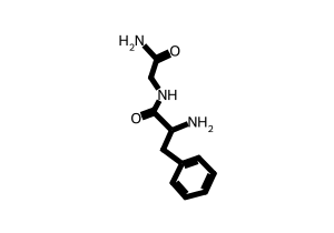 NC(=O)CNC(=O)C(N)Cc1ccccc1